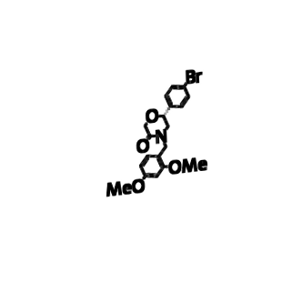 COc1ccc(CN2C[C@@H](c3ccc(Br)cc3)OCC2=O)c(OC)c1